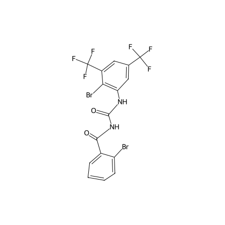 O=C(NC(=O)c1ccccc1Br)Nc1cc(C(F)(F)F)cc(C(F)(F)F)c1Br